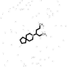 CCCC(CC)N1CCC2(CCCC2)CC1